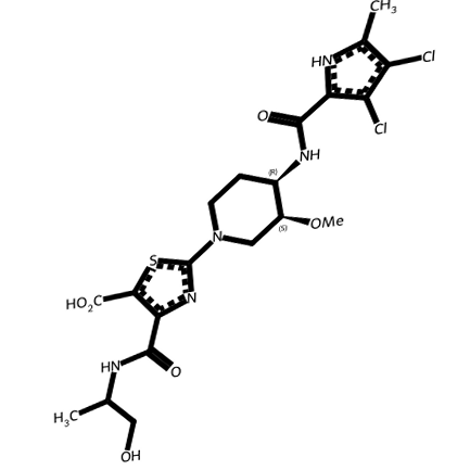 CO[C@H]1CN(c2nc(C(=O)NC(C)CO)c(C(=O)O)s2)CC[C@H]1NC(=O)c1[nH]c(C)c(Cl)c1Cl